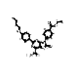 CCCCOc1ccc(-c2nc(C(N)=O)c3[nH]c(=O)n(-c4ccc(C(=O)OCC)cc4)c3n2)cc1